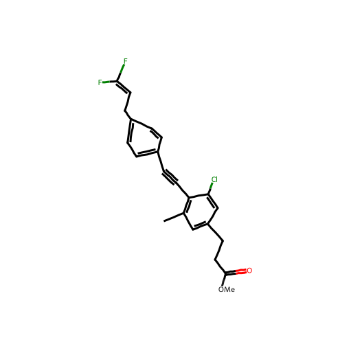 COC(=O)CCc1cc(C)c(C#Cc2ccc(CC=C(F)F)cc2)c(Cl)c1